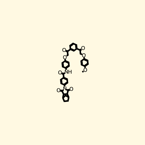 COc1ccc(OCC(=O)c2cccc(C(=O)COc3ccc(NC(=O)c4ccc(N5C(=O)C6C7CCC(C7)C6C5=O)cc4)cc3)c2)cc1